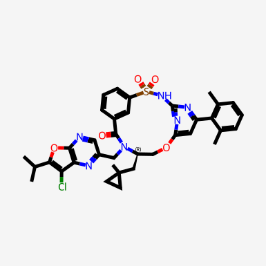 Cc1cccc(C)c1-c1cc2nc(n1)NS(=O)(=O)c1cccc(c1)C(=O)N(Cc1cnc3oc(C(C)C)c(Cl)c3n1)[C@H](CC1(C)CC1)CO2